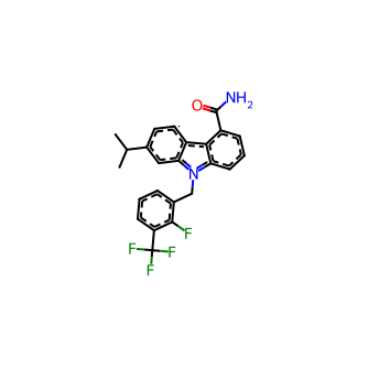 CC(C)c1c[c]c2c3c(C(N)=O)cccc3n(Cc3cccc(C(F)(F)F)c3F)c2c1